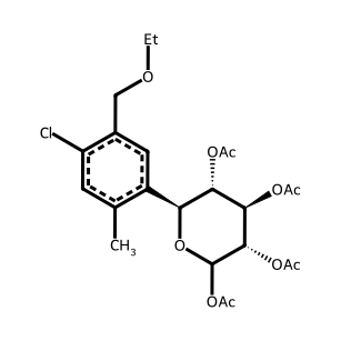 CCOCc1cc([C@@H]2OC(OC(C)=O)[C@@H](OC(C)=O)[C@H](OC(C)=O)[C@H]2OC(C)=O)c(C)cc1Cl